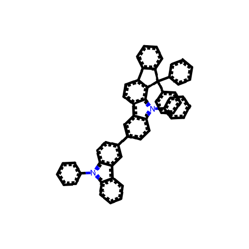 c1ccc(-n2c3ccccc3c3cc(-c4ccc5c(c4)c4ccc6c(c4n5-c4ccccc4)C(c4ccccc4)(c4ccccc4)c4ccccc4-6)ccc32)cc1